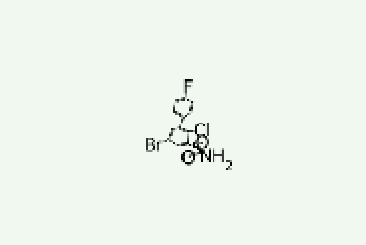 NS(=O)(=O)c1cc(Br)cc(-c2ccc(F)cc2)c1Cl